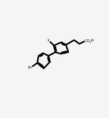 CC(=O)c1ccc(-c2ccc(CCC(=O)O)cc2F)cc1